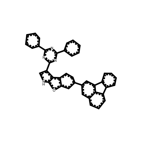 c1ccc(-c2nc(-c3ccccc3)nc(-c3c[nH]c4oc5cc(-c6cc7c8c(cccc8c6)-c6ccccc6-7)ccc5c34)n2)cc1